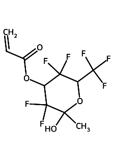 C=CC(=O)OC1C(F)(F)C(C(F)(F)F)OC(C)(O)C1(F)F